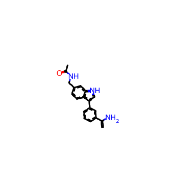 C=C(N)c1cccc(-c2c[nH]c3cc(CNC(C)=O)ccc23)c1